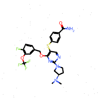 CN(C)[C@@H]1CCN(c2ncc(Sc3ccc(C(N)=O)cc3)c(OCc3ccc(F)c(OC(F)(F)F)c3)n2)C1